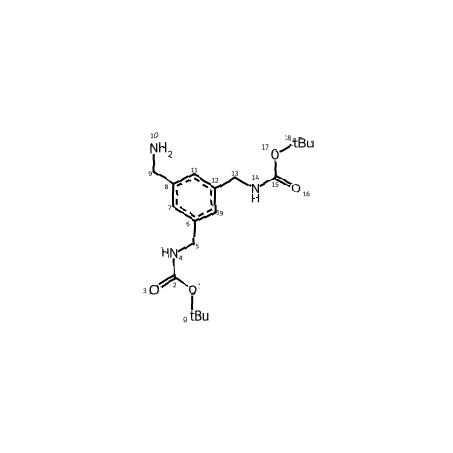 CC(C)(C)OC(=O)NCc1cc(CN)cc(CNC(=O)OC(C)(C)C)c1